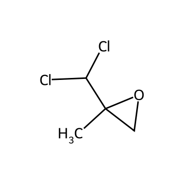 CC1(C(Cl)Cl)CO1